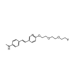 CNc1ccc(C=Cc2ccc(OCCOCCOCCF)nc2)cc1